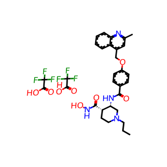 CCCN1CC[C@H](C(=O)NO)[C@H](NC(=O)c2ccc(OCc3cc(C)nc4ccccc34)cc2)C1.O=C(O)C(F)(F)F.O=C(O)C(F)(F)F